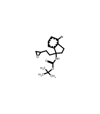 CC(C)(C)OC(=O)NC1(CCC2CO2)CCc2c(Br)cccc21